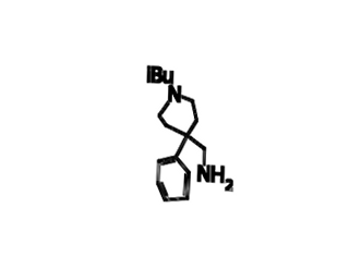 CCC(C)N1CCC(CN)(c2ccccc2)CC1